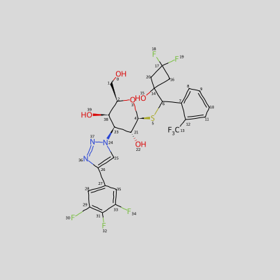 OC[C@H]1O[C@@H](SC(c2ccccc2C(F)(F)F)C2(O)CC(F)(F)C2)[C@H](O)[C@@H](n2cc(-c3cc(F)c(F)c(F)c3)nn2)[C@H]1O